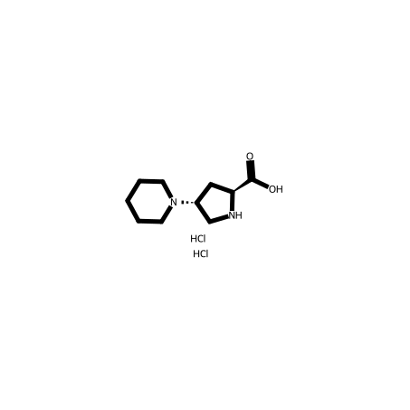 Cl.Cl.O=C(O)[C@@H]1C[C@@H](N2CCCCC2)CN1